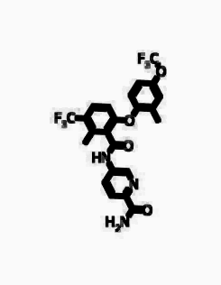 Cc1cc(OC(F)(F)F)ccc1Oc1ccc(C(F)(F)F)c(C)c1C(=O)Nc1ccc(C(N)=O)nc1